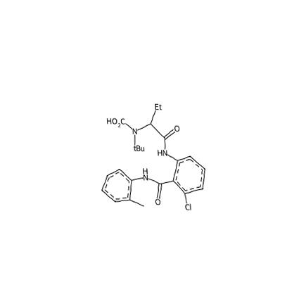 CCC(C(=O)Nc1cccc(Cl)c1C(=O)Nc1ccccc1C)N(C(=O)O)C(C)(C)C